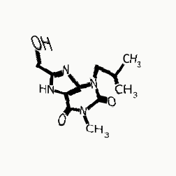 CC(C)Cn1c(=O)n(C)c(=O)c2[nH]c(CO)nc21